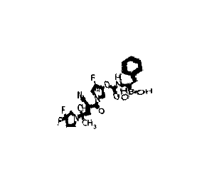 CC(C)(C=C(C#N)C(=O)N1C[C@H](F)[C@H](OC(=O)N[C@@H](Cc2ccccc2)B(O)O)C1)N1CCC(F)(F)C1